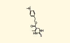 CC1=C(C(=O)OCCc2ccc(N(C)C)cc2)CNC(=S)N1